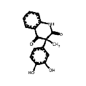 CC1(c2ccc(O)c(O)c2)C(=O)Nc2ccccc2C1=O